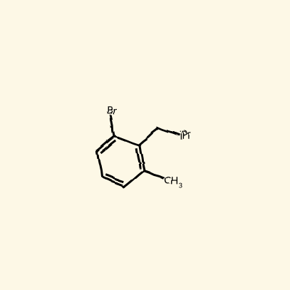 Cc1cccc(Br)c1CC(C)C